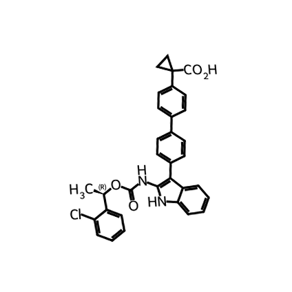 C[C@@H](OC(=O)Nc1[nH]c2ccccc2c1-c1ccc(-c2ccc(C3(C(=O)O)CC3)cc2)cc1)c1ccccc1Cl